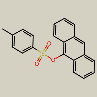 Cc1ccc(S(=O)(=O)Oc2c3ccccc3cc3ccccc23)cc1